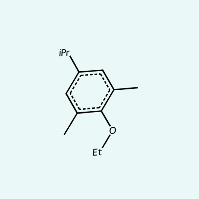 CCOc1c(C)cc(C(C)C)cc1C